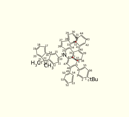 CC(C)(C)c1ccc(-c2ccc(N(c3ccc4c(c3)-c3ccccc3C4(C)C)c3ccc4ccccc4c3-c3ccccc3-c3ccccc3)cc2-c2ccccc2)cc1